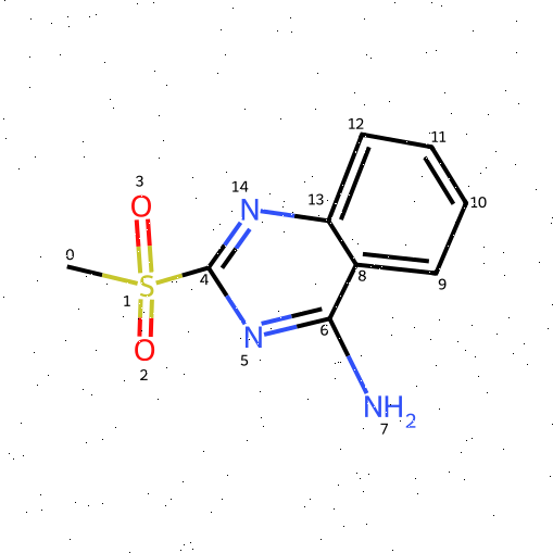 CS(=O)(=O)c1nc(N)c2ccccc2n1